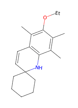 CCOc1c(C)c(C)c2c(c1C)C=CC1(CCCCC1)N2